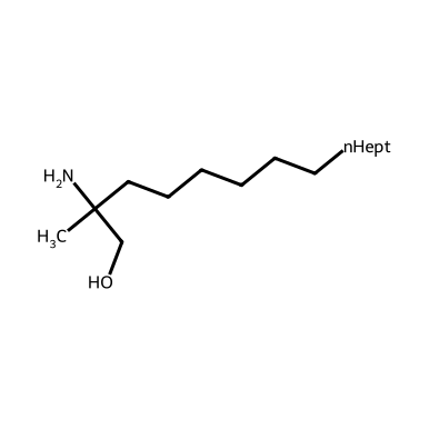 CCCCCCCCCCCCCC(C)(N)CO